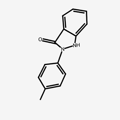 Cc1ccc(-n2[nH]c3ccccc3c2=O)cc1